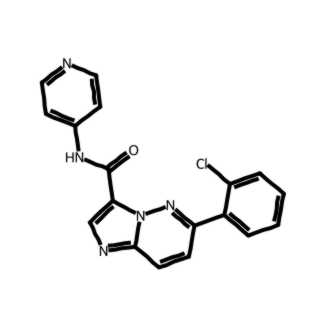 O=C(Nc1ccncc1)c1cnc2ccc(-c3ccccc3Cl)nn12